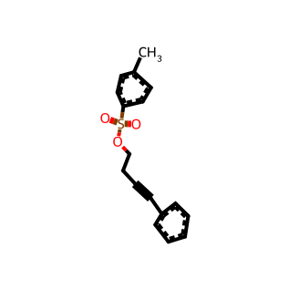 Cc1ccc(S(=O)(=O)OCCC#Cc2ccccc2)cc1